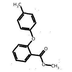 COC(=O)c1ccccc1Oc1ccc(C)cc1